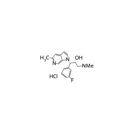 CNC[C@@H](O)[C@H](c1cccc(F)c1)n1ccc2cc(C)ncc21.Cl